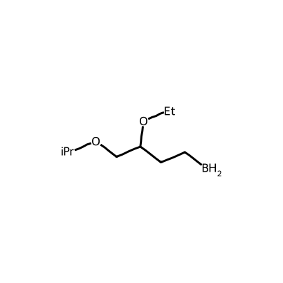 BCCC(COC(C)C)OCC